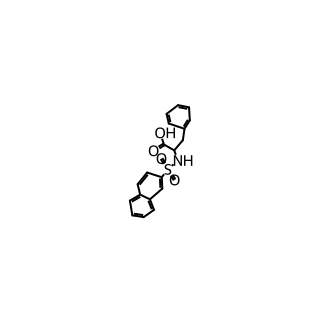 O=C(O)C(Cc1ccccc1)NS(=O)(=O)c1ccc2ccccc2c1